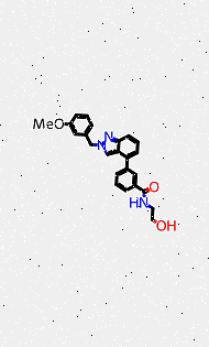 COc1cccc(Cn2cc3c(-c4cccc(C(=O)NCCO)c4)cccc3n2)c1